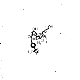 Cc1ncsc1-c1ccc(CNC(=O)[C@@H]2C[C@@H](O)CN2C(=O)[C@@H](NC(=O)COCCO)C(C)(C)C)cc1